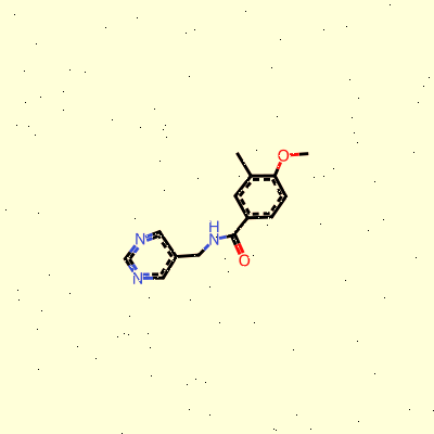 COc1ccc(C(=O)NCc2cncnc2)cc1C